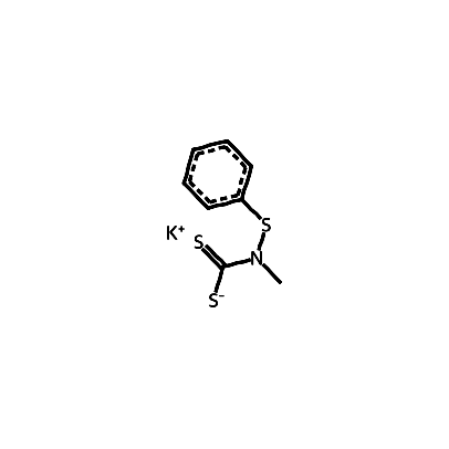 CN(Sc1ccccc1)C(=S)[S-].[K+]